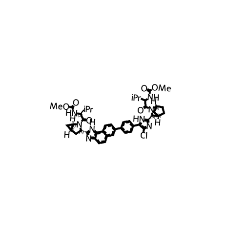 COC(=O)NC(C(=O)N1[C@@H]2CC[C@@H](C2)[C@H]1c1nc(Cl)c(-c2ccc(-c3ccc4c(ccc5nc([C@@H]6C[C@H]7C[C@H]7N6C(=O)[C@@H](NC(=O)OC)C(C)C)[nH]c54)c3)cc2)[nH]1)C(C)C